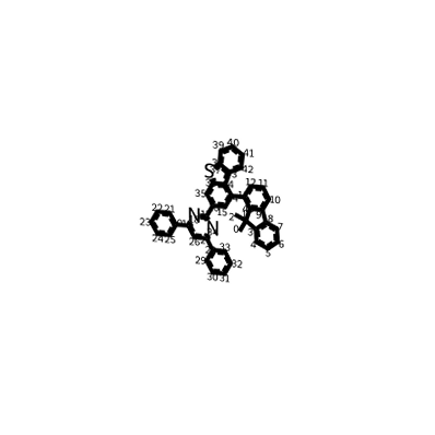 CC1(C)c2ccccc2-c2cccc(-c3cc(-c4nc(-c5ccccc5)cc(-c5ccccc5)n4)cc4sc5ccccc5c34)c21